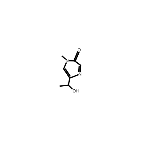 CC(O)c1cn(C)c(=O)cn1